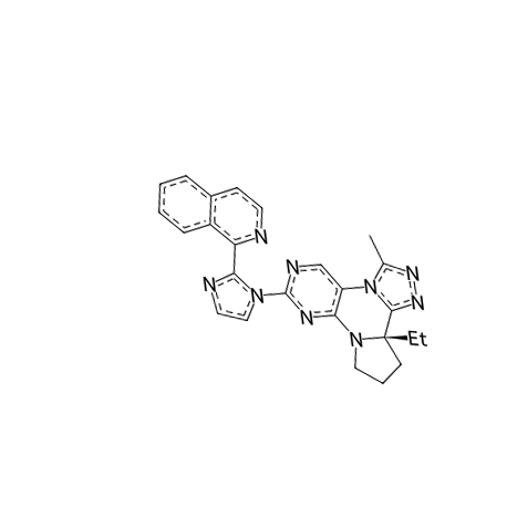 CC[C@@]12CCCN1c1nc(-n3ccnc3-c3nccc4ccccc34)ncc1-n1c(C)nnc12